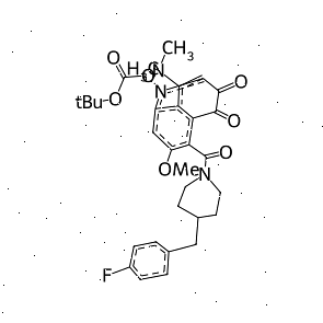 COc1cc2c3c(c1C(=O)N1CCC(Cc4ccc(F)cc4)CC1)C(=O)C(=O)c(c3N(C)C)n2OC(=O)OC(C)(C)C